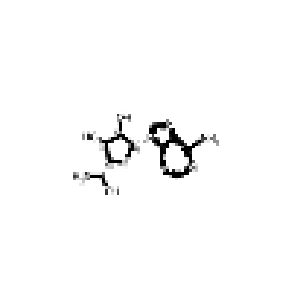 Nc1ncnc2c1ncn2[C@@H]1O[C@H](C(N)O)[C@@H](O)[C@H]1O